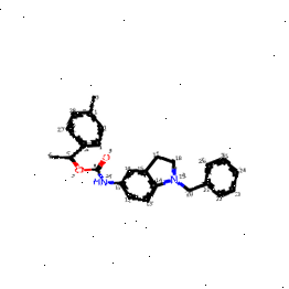 Cc1ccc(C(C)OC(=O)Nc2ccc3c(c2)CCN3Cc2ccccc2)cc1